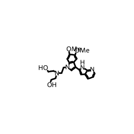 COc1cc2c(-c3cc4cccnc4[nH]3)cn(CCN(CCO)CCO)c2cc1OC